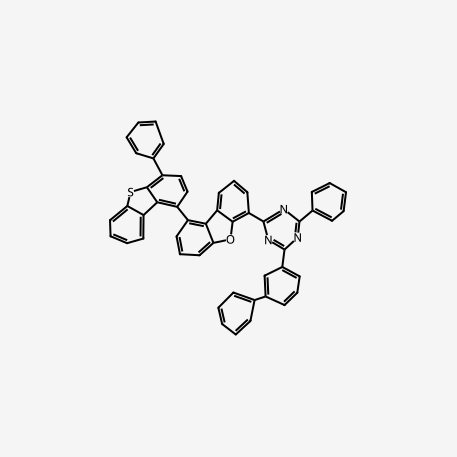 c1ccc(-c2cccc(-c3nc(-c4ccccc4)nc(-c4cccc5c4oc4cccc(-c6ccc(-c7ccccc7)c7sc8ccccc8c67)c45)n3)c2)cc1